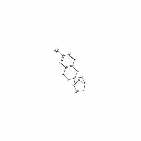 Cc1ccc2c(c1)CCC1(C2)CC2C=CC1C2